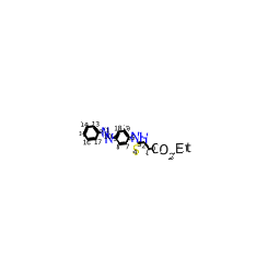 CCOC(=O)CCC(=S)Nc1ccc(N=Nc2ccccc2)cc1